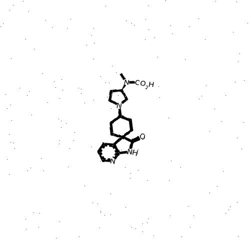 CN(C(=O)O)[C@@H]1CCN(C2CCC3(CC2)C(=O)Nc2ncccc23)C1